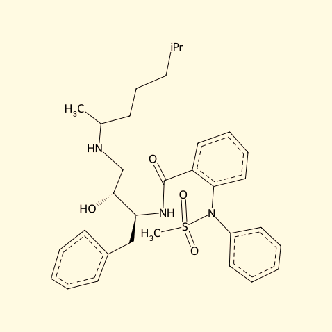 CC(C)CCCC(C)NC[C@@H](O)[C@H](Cc1ccccc1)NC(=O)c1ccccc1N(c1ccccc1)S(C)(=O)=O